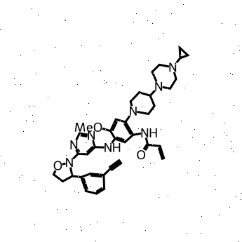 C#Cc1cccc(C2CCON2c2cc(Nc3cc(NC(=O)C=C)c(N4CCC(N5CCN(C6CC6)CC5)CC4)cc3OC)ncn2)c1